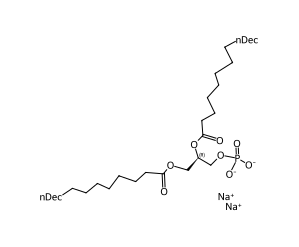 CCCCCCCCCCCCCCCCCC(=O)OC[C@H](COP(=O)([O-])[O-])OC(=O)CCCCCCCCCCCCCCCCC.[Na+].[Na+]